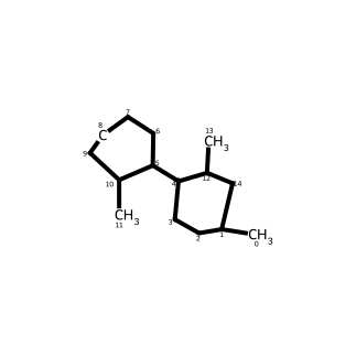 CC1CC[C](C2CCCCC2C)C(C)C1